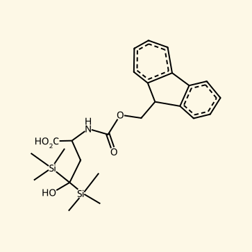 C[Si](C)(C)C(O)(CC(NC(=O)OCC1c2ccccc2-c2ccccc21)C(=O)O)[Si](C)(C)C